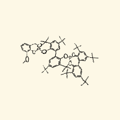 COc1cccc2c1OP(Oc1c(-c3cc(C(C)(C)C)cc(C(C)(C)C)c3Op3oc4c(C(C)(C)C)cc(C(C)(C)C)cc4c4cc(C(C)(C)C)cc(C(C)(C)C)c4o3)cc(C(C)(C)C)cc1C(C)(C)C)OC2